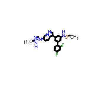 CCSNc1cc(-c2ccc(F)cc2F)cc(-c2cnn3cc(N/C=N\C(C)=N)ccc23)c1